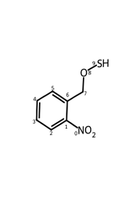 O=[N+]([O-])c1ccccc1COS